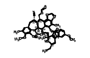 COc1ccc2[nH]c3c(c2c1)C[C@@H](CN)N[C@]3(C)CS[C@@H]1c2c(OC(C)=O)c(C)c3c(c2[C@H](COC=O)N2[C@@H]1[C@@H](N(C)C)c1c(cc(C)c(OC)c1O)C[C@@H]2C#N)OCO3